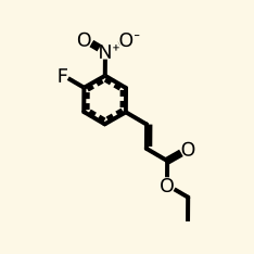 CCOC(=O)/C=C/c1ccc(F)c([N+](=O)[O-])c1